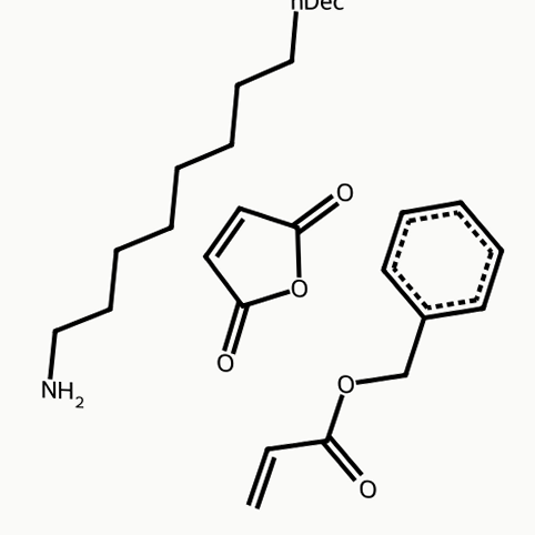 C=CC(=O)OCc1ccccc1.CCCCCCCCCCCCCCCCCCN.O=C1C=CC(=O)O1